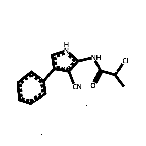 CC(Cl)C(=O)Nc1[nH]cc(-c2ccccc2)c1C#N